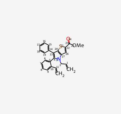 C=CCn1c(-c2ccccc2C=C)c(-c2ccccc2)c2sc(C(=O)OC)cc21